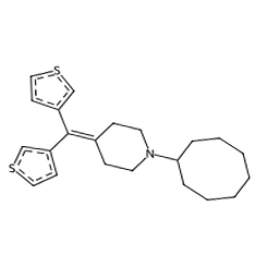 c1cc(C(=C2CCN(C3CCCCCCC3)CC2)c2ccsc2)cs1